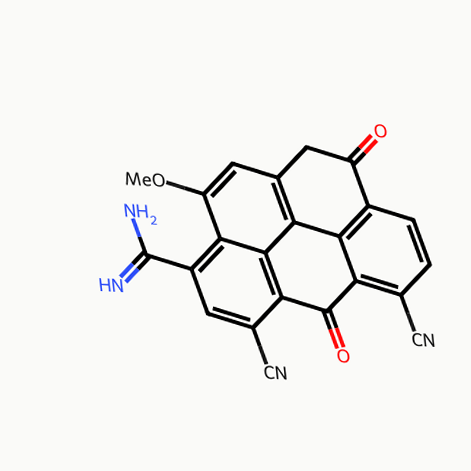 COc1cc2c3c4c(c(C#N)cc(C(=N)N)c14)C(=O)c1c(C#N)ccc(c1-3)C(=O)C2